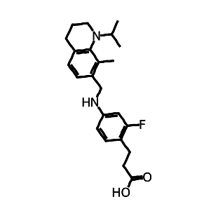 Cc1c(CNc2ccc(CCC(=O)O)c(F)c2)ccc2c1N(C(C)C)CCC2